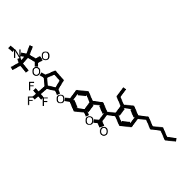 CCCCCc1ccc(-c2cc3ccc(OC4CCC(OC(=O)C5(C)N(C)C5(C)C)C4C(F)(F)F)cc3oc2=O)c(CC)c1